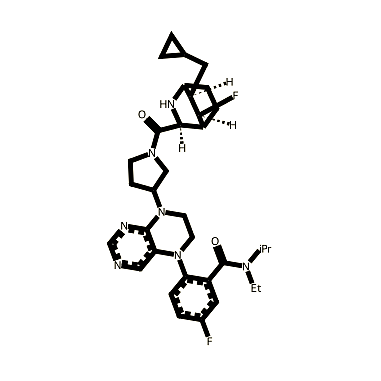 CCN(C(=O)c1cc(F)ccc1N1CCN(C2CCN(C(=O)[C@H]3NC4CCC3[C@H](F)[C@@H]4CC3CC3)C2)c2ncncc21)C(C)C